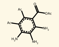 CC(=O)OC(=O)c1c(N)c(N)c(N)c(C(C)=O)c1C(C)=O